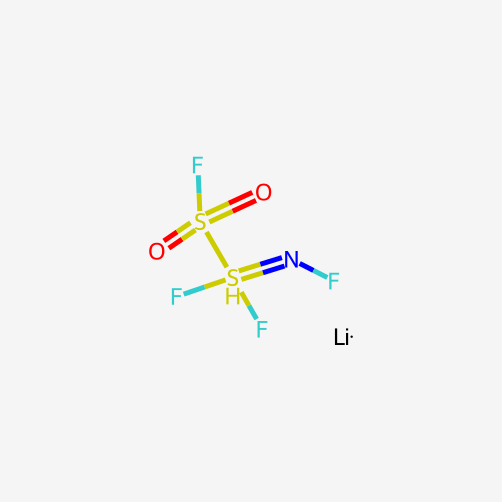 O=S(=O)(F)[SH](F)(F)=NF.[Li]